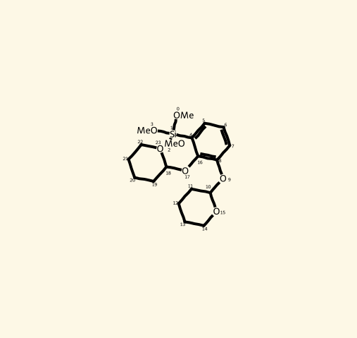 CO[Si](OC)(OC)c1cccc(OC2CCCCO2)c1OC1CCCCO1